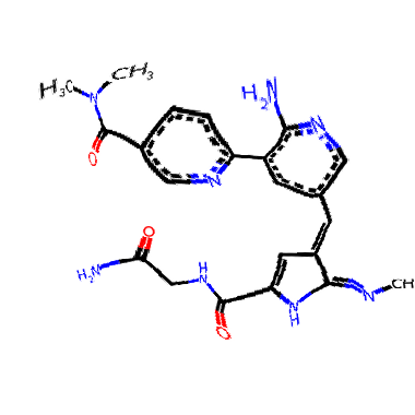 C/N=C1/NC(C(=O)NCC(N)=O)=C/C1=C\c1cnc(N)c(-c2ccc(C(=O)N(C)C)cn2)c1